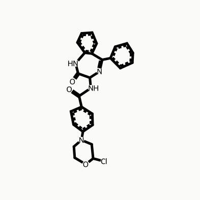 O=C(NC1N=C(c2ccccc2)c2ccccc2NC1=O)c1ccc(N2CCOC(Cl)C2)cc1